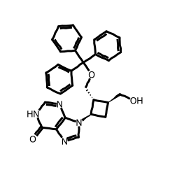 O=c1[nH]cnc2c1ncn2[C@@H]1C[C@H](CO)[C@H]1COC(c1ccccc1)(c1ccccc1)c1ccccc1